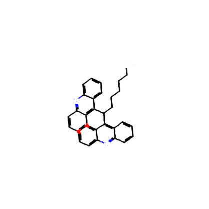 CCCCCCCCCCCCCCCC(c1c2ccccc2nc2ccccc12)c1c2ccccc2nc2ccccc12